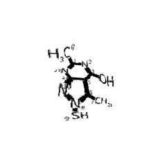 Cc1nc(O)c2c(C)n(S)nc2n1